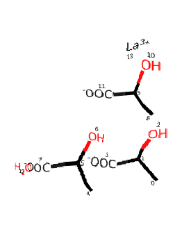 CC(O)C(=O)[O-].CC(O)C(=O)[O-].CC(O)C(=O)[O-].O.[La+3]